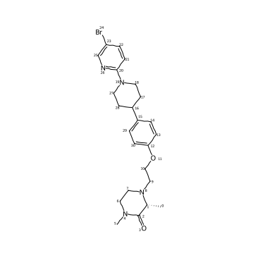 C[C@@H]1C(=O)N(C)CCN1CCOc1ccc(C2CCN(c3ccc(Br)cn3)CC2)cc1